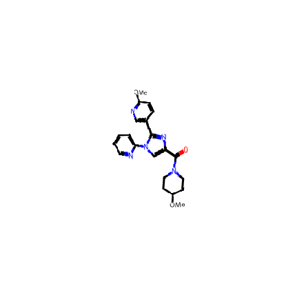 COc1ccc(-c2nc(C(=O)N3CCC(OC)CC3)cn2-c2ccccn2)cn1